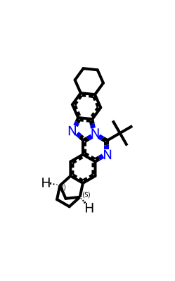 CC(C)(C)c1nc2cc3c(cc2c2nc4cc5c(cc4n12)CCCC5)[C@@H]1CC[C@H]3C1